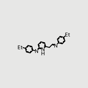 CCc1ccc(N=CCc2cccc(=Nc3ccc(CC)cc3)[nH]2)cc1